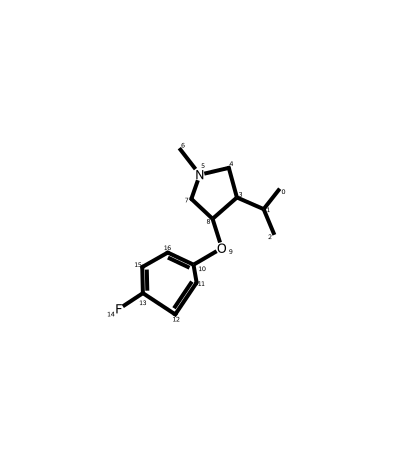 CC(C)C1CN(C)CC1Oc1ccc(F)cc1